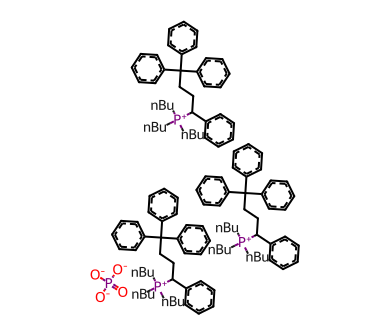 CCCC[P+](CCCC)(CCCC)C(CCC(c1ccccc1)(c1ccccc1)c1ccccc1)c1ccccc1.CCCC[P+](CCCC)(CCCC)C(CCC(c1ccccc1)(c1ccccc1)c1ccccc1)c1ccccc1.CCCC[P+](CCCC)(CCCC)C(CCC(c1ccccc1)(c1ccccc1)c1ccccc1)c1ccccc1.O=P([O-])([O-])[O-]